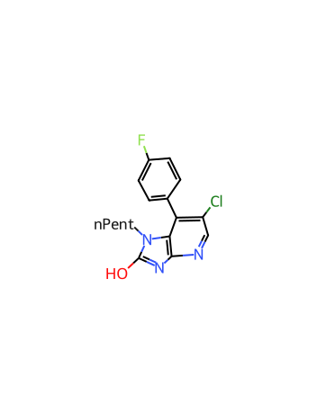 CCCCCn1c(O)nc2ncc(Cl)c(-c3ccc(F)cc3)c21